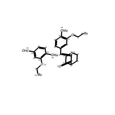 CCC(C)COc1cc(/C=C2/C(=O)C3CCN2CC3)ccc1OC.CCC(C)COc1cc(C=O)ccc1OC